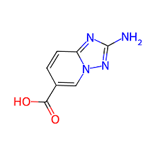 Nc1nc2ccc(C(=O)O)cn2n1